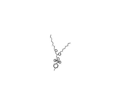 CCCCCCCCOCC(COS(=O)(=O)c1ccc(C)cc1)OCCCCCCCC